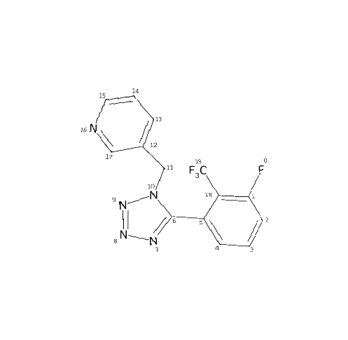 Fc1cccc(-c2nnnn2Cc2cccnc2)c1C(F)(F)F